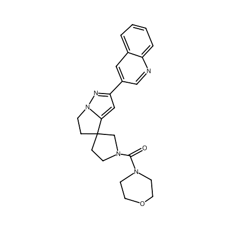 O=C(N1CCOCC1)N1CCC2(CCn3nc(-c4cnc5ccccc5c4)cc32)C1